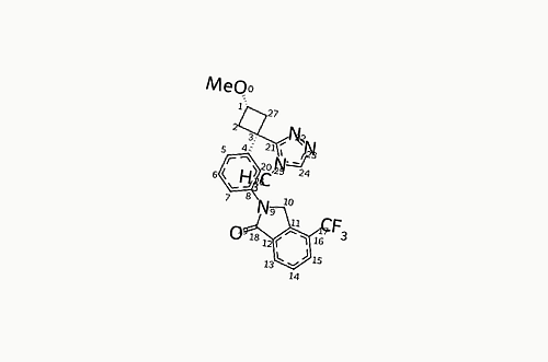 CO[C@H]1C[C@](c2cccc(N3Cc4c(cccc4C(F)(F)F)C3=O)c2)(c2nncn2C)C1